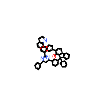 c1ccc(-c2cc(-c3cccc4c3Oc3c(-c5ccc(-c6cccc7cccnc67)cc5)cccc3C4(c3ccccc3)c3ccccc3)nc(-c3ccccc3)n2)cc1